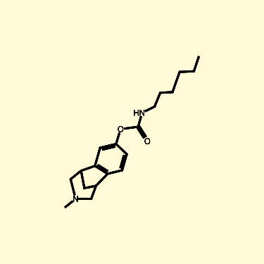 CCCCCCNC(=O)Oc1ccc2c(c1)C1CC2CN(C)C1